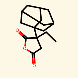 CCC1(C23CC4CC(CC(C4)C2)C3)CC(=O)OC1=O